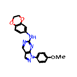 COc1ccc(-n2ncc3cnc(Nc4ccc5c(c4)OCCO5)nc32)cc1